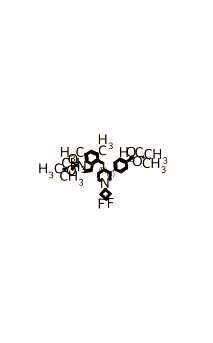 Cc1cc(C)c2c(ccn2C(=O)OC(C)(C)C)c1C[C@@H]1CCN(C2CC(F)(F)C2)C[C@H]1c1ccc(C(=O)OC(C)(C)C)cc1